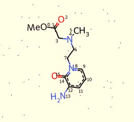 COC(=O)CN(C)CCn1cccc(N)c1=O